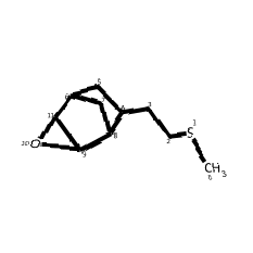 CSCCC1CC2CC1C1OC21